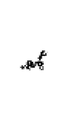 O=C(O)c1cccc2c1ccn2Cc1cc(Cl)ccc1OCCC1CCOCC1